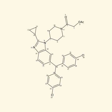 CC(=O)OCC(=O)N1CCC(n2c(C3CC3)nc3ccc(C(c4ccc(Cl)cc4)c4ccc(Cl)cc4)cc32)CC1